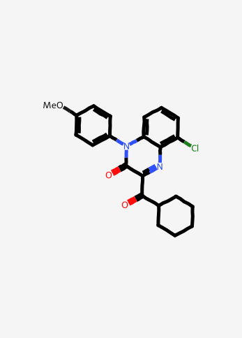 COc1ccc(-n2c(=O)c(C(=O)C3CCCCC3)nc3c(Cl)cccc32)cc1